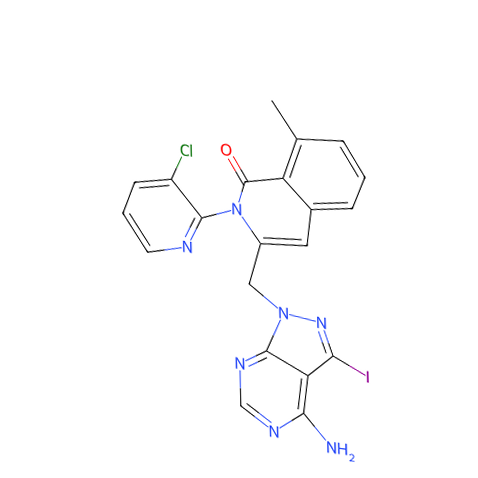 Cc1cccc2cc(Cn3nc(I)c4c(N)ncnc43)n(-c3ncccc3Cl)c(=O)c12